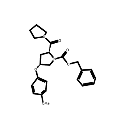 COc1ccc(O[C@H]2C[C@@H](C(=O)N3CCCC3)N(C(=O)OCc3ccccc3)C2)cc1